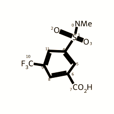 CNS(=O)(=O)c1cc(C(=O)O)cc(C(F)(F)F)c1